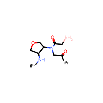 BCC(=O)N(CC(=O)C(C)C)C1COCC1NC(C)C